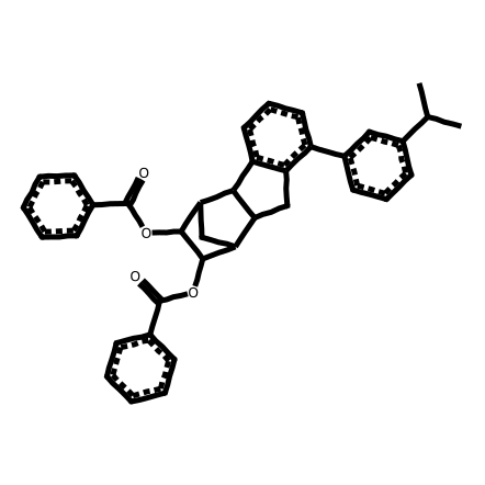 CC(C)c1cccc(-c2cccc3c2CC2C4CC(C(OC(=O)c5ccccc5)C4OC(=O)c4ccccc4)C32)c1